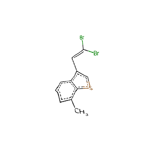 Cc1cccc2c(C=C(Br)Br)csc12